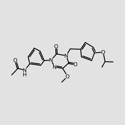 COc1nn(-c2cccc(NC(C)=O)c2)c(=O)n(Cc2ccc(OC(C)C)cc2)c1=O